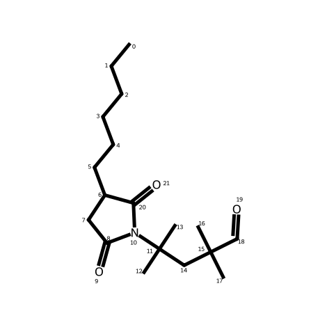 CCCCCCC1CC(=O)N(C(C)(C)CC(C)(C)C=O)C1=O